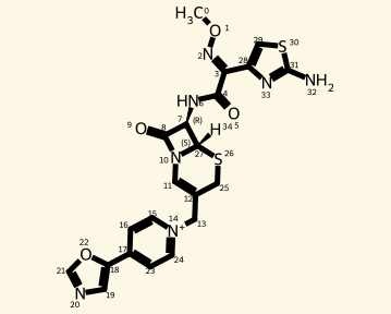 CON=C(C(=O)N[C@@H]1C(=O)N2C=C(C[n+]3ccc(-c4cnco4)cc3)CS[C@@H]12)c1csc(N)n1